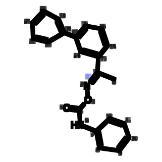 C/C(=N\OC(=O)Nc1ccccc1)c1cccc(-c2ccccc2)c1